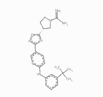 CC(C)(C)c1cccc(Nc2ccc(-c3noc([C@@H]4CCN(C(=N)N)C4)n3)cn2)c1